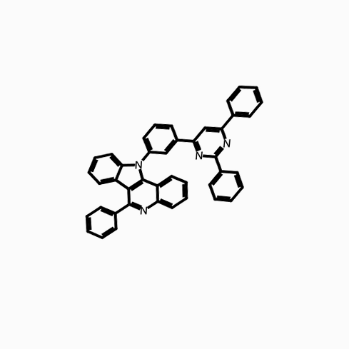 c1ccc(-c2cc(-c3cccc(-n4c5ccccc5c5c(-c6ccccc6)nc6ccccc6c54)c3)nc(-c3ccccc3)n2)cc1